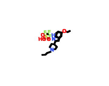 CCCCN1CCC(c2cc3cc(OCC)ccc3[nH]2)CC1.O=S(=O)(O)C(F)(F)F